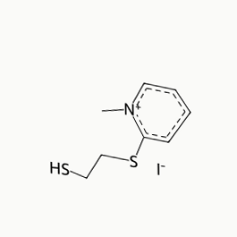 C[n+]1ccccc1SCCS.[I-]